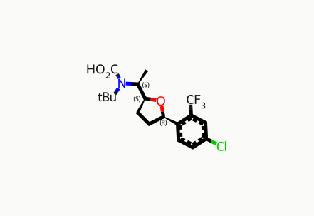 C[C@@H]([C@@H]1CC[C@H](c2ccc(Cl)cc2C(F)(F)F)O1)N(C(=O)O)C(C)(C)C